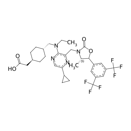 CCN(C[C@H]1CC[C@H](CC(=O)O)CC1)c1ncc(C2CC2)nc1CN1C(=O)OC(c2cc(C(F)(F)F)cc(C(F)(F)F)c2)[C@@H]1C